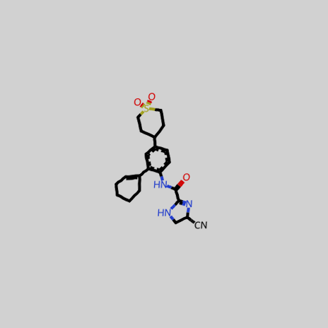 N#CC1CNC(C(=O)Nc2ccc(C3CCS(=O)(=O)CC3)cc2C2=CCCCC2)=N1